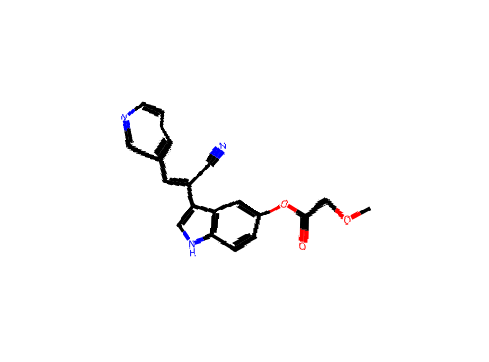 COCC(=O)Oc1ccc2[nH]cc(C(C#N)=Cc3cccnc3)c2c1